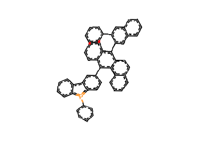 c1ccc(-c2cc3ccccc3cc2-c2c3ccccc3c(-c3ccc4c(c3)c3ccccc3p4-c3ccccc3)c3c2ccc2ccccc23)cc1